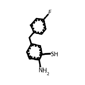 Nc1ccc(Cc2ccc(F)cc2)cc1S